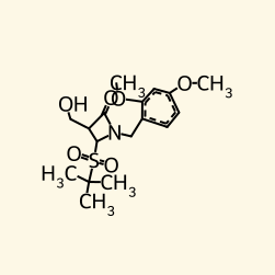 COc1ccc(CN2C(=O)C(CO)C2S(=O)(=O)C(C)(C)C)c(OC)c1